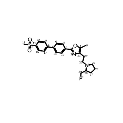 Cc1oc(-c2ccc(-c3ccc(S(C)(=O)=O)cc3)cc2)nc1CCN1CCCC1CF